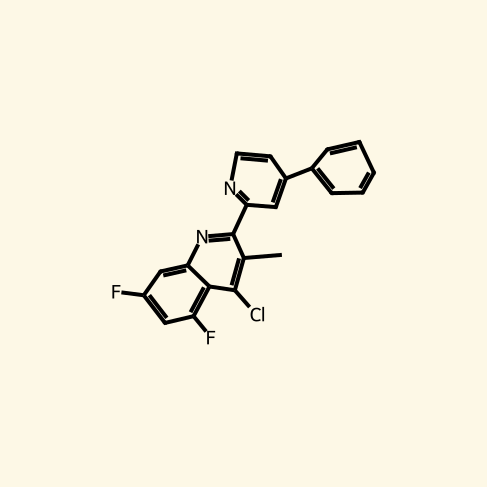 Cc1c(-c2cc(-c3ccccc3)ccn2)nc2cc(F)cc(F)c2c1Cl